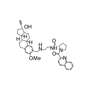 C#C[C@]1(O)CC[C@H]2[C@@H]3CCc4cc(OC)c(CNCCNC(=O)[C@@H]5CCCN5C(=O)c5ccc6ccccc6n5)cc4[C@H]3CC[C@@]21C